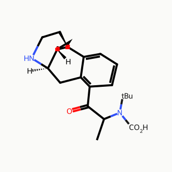 CC(C(=O)c1cccc2c1C[C@H]1NCC[C@@]23CCCC[C@@H]13)N(C(=O)O)C(C)(C)C